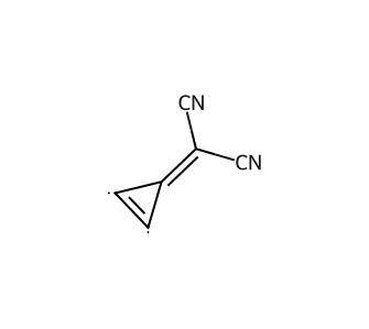 N#CC(C#N)=C1[C]=[C]1